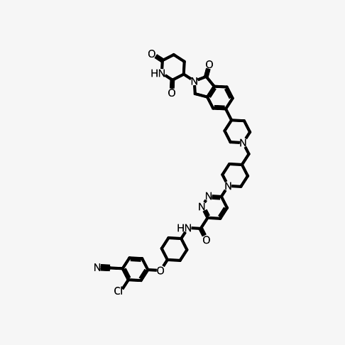 N#Cc1ccc(OC2CCC(NC(=O)c3ccc(N4CCC(CN5CCC(c6ccc7c(c6)CN(C6CCC(=O)NC6=O)C7=O)CC5)CC4)nn3)CC2)cc1Cl